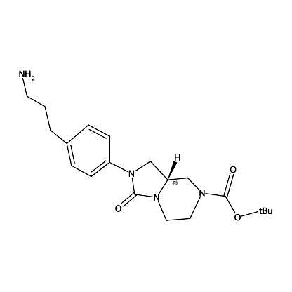 CC(C)(C)OC(=O)N1CCN2C(=O)N(c3ccc(CCCN)cc3)C[C@@H]2C1